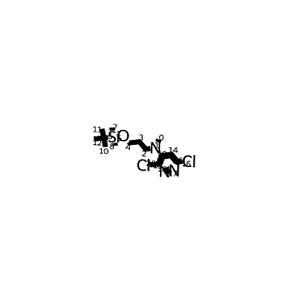 CN(CCCO[Si](C)(C)C(C)(C)C)c1cc(Cl)nnc1Cl